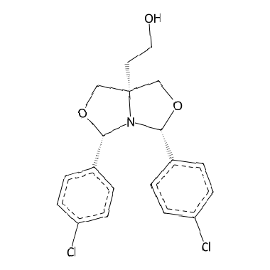 OCC[C@]12CO[C@H](c3ccc(Cl)cc3)N1[C@H](c1ccc(Cl)cc1)OC2